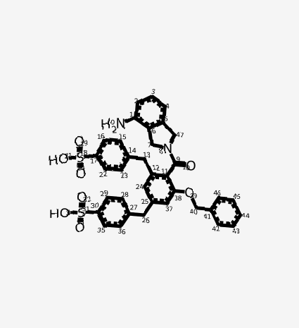 Nc1cccc2c1CN(C(=O)c1c(Cc3ccc(S(=O)(=O)O)cc3)cc(Cc3ccc(S(=O)(=O)O)cc3)cc1OCc1ccccc1)C2